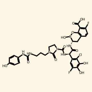 O=C(NCCCN1CCN(C(=O)N[C@@H](C(=O)N[C@H]2Cc3ccc(F)c(C(=O)O)c3OB2O)c2cc(F)c(O)c(O)c2Cl)C1=O)Nc1ccc(O)cc1